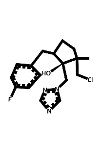 CC1(CCl)CCC(Cc2ccc(F)cc2)[C@@]1(O)Cn1cncn1